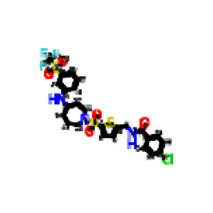 O=C(NCc1ccc(S(=O)(=O)N2CCCC(Nc3cccc(S(=O)(=O)C(F)(F)F)c3)CC2)s1)c1ccc(Cl)cc1